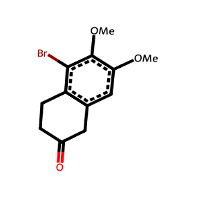 COc1cc2c(c(Br)c1OC)CCC(=O)C2